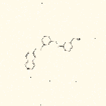 OCc1cccc(OCc2cccc(OCc3ccc4ccccc4n3)c2)c1